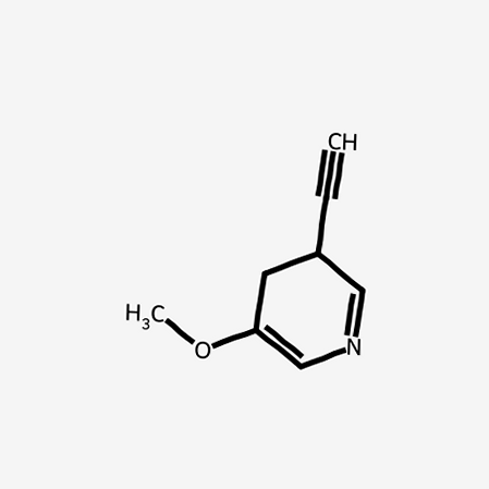 C#CC1C=NC=C(OC)C1